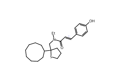 CCN(CC1(C2CCCCCCCC2)CCCS1)C(=O)/C=C/c1ccc(O)cc1